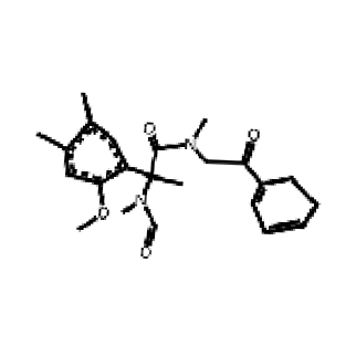 COc1cc(C)c(C)cc1C(C)(C(=O)N(C)CC(=O)C1=CC=CCC1)N(C)C=O